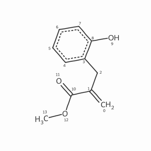 C=C(Cc1ccccc1O)C(=O)OC